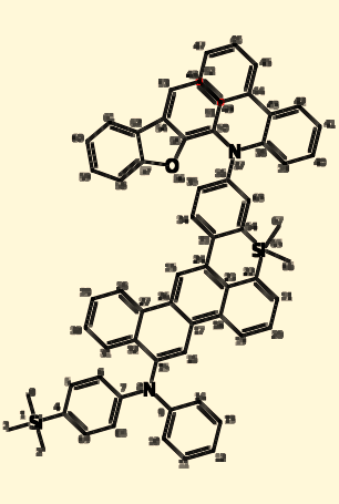 C[Si](C)(C)c1ccc(N(c2ccccc2)c2cc3c4cccc5c4c(cc3c3ccccc23)-c2ccc(N(c3ccccc3-c3ccccc3)c3cccc4c3oc3ccccc34)cc2[Si]5(C)C)cc1